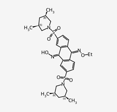 CCON=C1c2ccc(S(=O)(=O)N3C[C@H](C)C[C@H](C)C3)cc2C(=NO)c2cc(S(=O)(=O)N3C[C@H](C)C[C@H](C)C3)ccc21